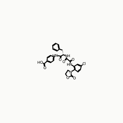 O=C(Nc1cc(Cl)ccc1N1CCOC1=O)C(=O)N[C@@H](Cc1ccccc1)C(=O)Nc1ccc(C(=O)O)cc1